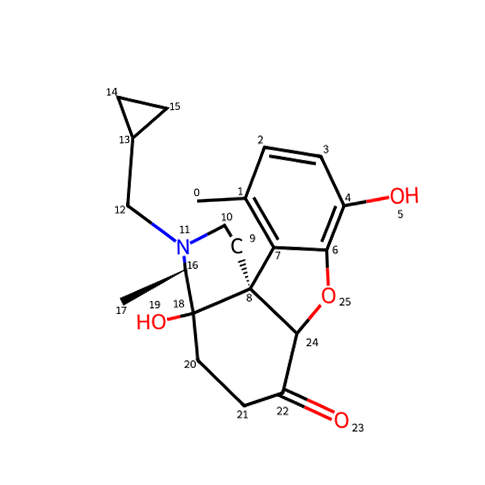 Cc1ccc(O)c2c1[C@]13CCN(CC4CC4)[C@H](C)C1(O)CCC(=O)C3O2